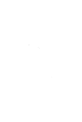 O=CN1CCc2ccc(C(F)(F)F)cc2C1